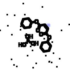 O=C(/C=C\C(=O)OC1CCCCC1)OC1CCCCC1.OP(O)O